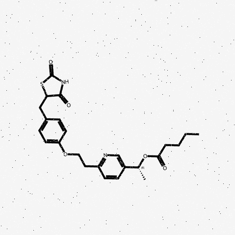 CCCCC(=O)O[C@H](C)c1ccc(CCOc2ccc(CC3SC(=O)NC3=O)cc2)nc1